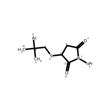 CCCN1C(=O)CC(SCC(C)(C)C(C)=O)C1=O